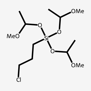 COC(C)O[Si](CCCCl)(OC(C)OC)OC(C)OC